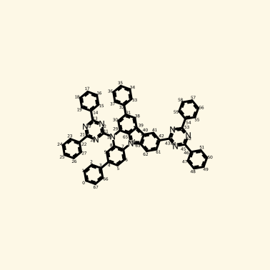 c1ccc(-c2ccc3c(c2)N(c2nc(-c4ccccc4)nc(-c4ccccc4)n2)c2cc(-c4ccccc4)cc4c5cc(-c6nc(-c7ccccc7)nc(-c7ccccc7)n6)ccc5n-3c24)cc1